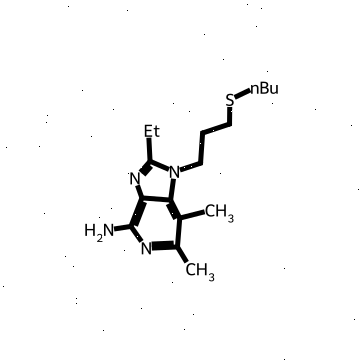 CCCCSCCCn1c(CC)nc2c(N)nc(C)c(C)c21